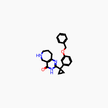 O=c1[nH]c(C2(c3cccc(OCc4ccccc4)c3)CC2)nc2c1CNCCC2